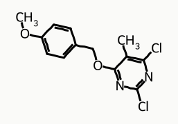 COc1ccc(COc2nc(Cl)nc(Cl)c2C)cc1